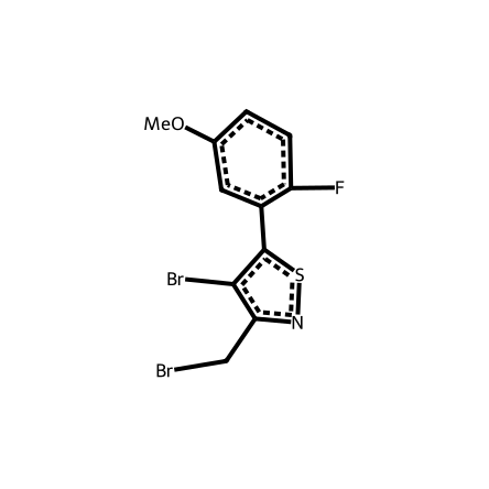 COc1ccc(F)c(-c2snc(CBr)c2Br)c1